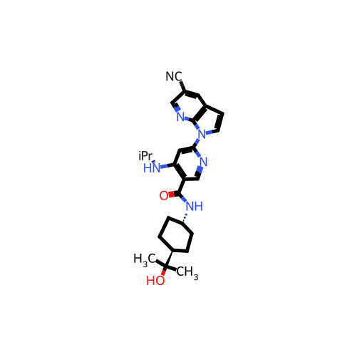 CC(C)Nc1cc(-n2ccc3cc(C#N)cnc32)ncc1C(=O)N[C@H]1CC[C@H](C(C)(C)O)CC1